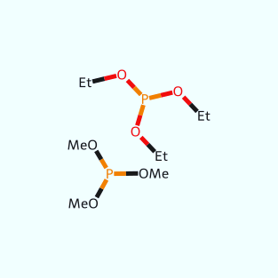 CCOP(OCC)OCC.COP(OC)OC